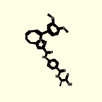 COc1ccc(/C2=C/C=C\CCc3cc(C(=O)Nc4ccc(C(=O)N[C@H](C)C(=O)O)cc4)nn32)cc1OC